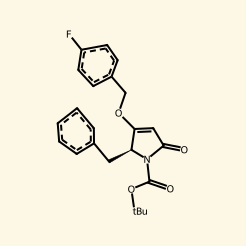 CC(C)(C)OC(=O)N1C(=O)C=C(OCc2ccc(F)cc2)[C@@H]1Cc1ccccc1